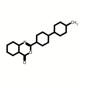 CC1CCC(C2CCC(C3=NC4CCCCC4C(=O)O3)CC2)CC1